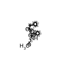 COCCCNC(=O)OC1(c2ccccc2)CCN(C(=O)C2CC2c2ccccc2)CC1